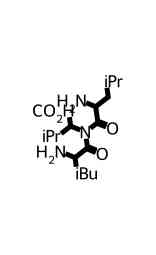 CCC(C)C(N)C(=O)N(C(=O)C(N)CC(C)C)C(C(=O)O)C(C)C